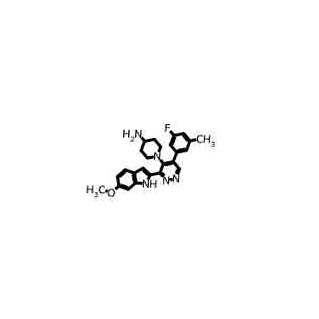 COc1ccc2cc(-c3nncc(-c4cc(C)cc(F)c4)c3N3CCC(N)CC3)[nH]c2c1